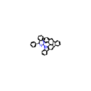 c1ccc(-c2nc(-n3c4ccccc4c4cc5c6c(c43)-c3ccccc3C(CC6)c3ccccc3-5)nc3ccccc23)cc1